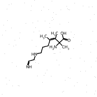 C/C(CCCNCC=N)=C(\C)C(C)(N)C(=O)O